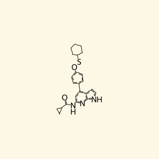 O=C(Nc1cc(-c2ccc(OSC3CCCCC3)cc2)c2cc[nH]c2n1)C1CC1